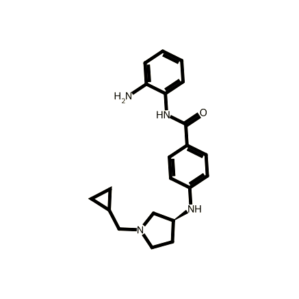 Nc1ccccc1NC(=O)c1ccc(N[C@H]2CCN(CC3CC3)C2)cc1